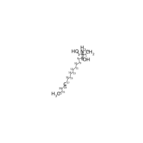 C=C[C@](N)(CO)[C@H](O)CCCCCCCCCCCCCCC